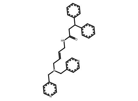 O=C(CC(c1ccccc1)c1ccccc1)NCC=CCN(Cc1ccncc1)Cc1ccncc1